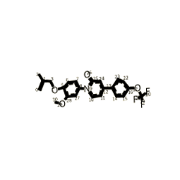 C=C(C)COc1ccc(-n2ccc(-c3ccc(OC(F)(F)F)cc3)cc2=O)cc1OC